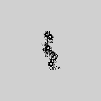 COc1ccc(CN2C(=O)COc3ccc(N4C(=O)O[C@H]5C[C@@H](NCCn6c(=O)ccc7ncccc76)CC[C@@H]54)nc32)cc1